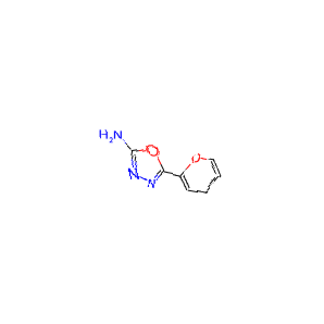 Nc1nnc(C2=CCC=CO2)o1